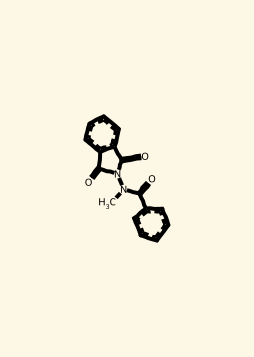 CN(C(=O)c1ccccc1)N1C(=O)c2ccccc2C1=O